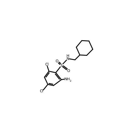 Nc1cc(Cl)cc(Cl)c1S(=O)(=O)NCC1CCCCC1